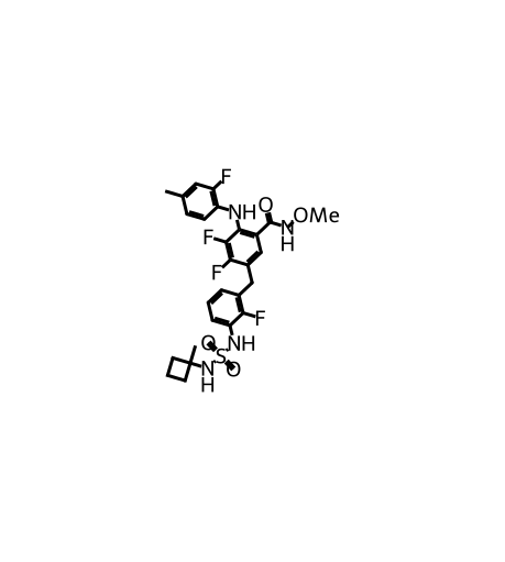 CONC(=O)c1cc(Cc2cccc(NS(=O)(=O)NC3(C)CCC3)c2F)c(F)c(F)c1Nc1ccc(C)cc1F